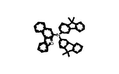 CC1(C)c2ccccc2-c2cc(N(c3ccc4c(c3)-c3ccccc3C4(C)C)c3cc4ccccc4c4c3sc3ccccc34)ccc21